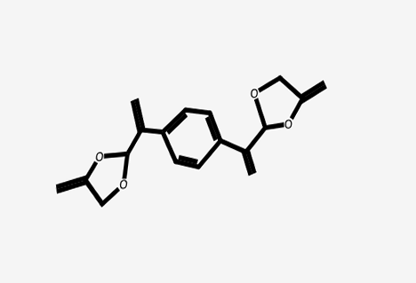 C=C1COC(C(=C)c2ccc(C(=C)C3OCC(=C)O3)cc2)O1